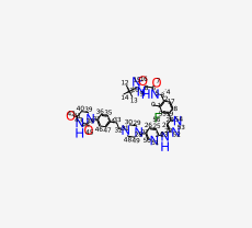 Cc1c([C@@H](C)NC(=O)c2nc(C(C)(C)C)no2)ccc(-c2cc(Nc3ccc(N4CCN(CCc5ccc(N6CCC(=O)NC6=O)cc5)CC4)cn3)ncn2)c1F